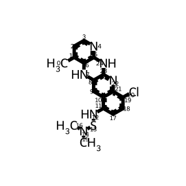 Cc1ccnc2c1Nc1cc3c(NSN(C)C)ccc(Cl)c3nc1N2